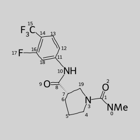 CNC(=O)N1CCC[C@H](C(=O)Nc2ccc(C(F)(F)F)c(F)c2)C1